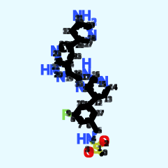 CS(=O)(=O)NCc1cc(F)cc(-c2ccnc3[nH]c(-c4n[nH]c5ncc(-c6cncc(N)c6)cc45)nc23)c1